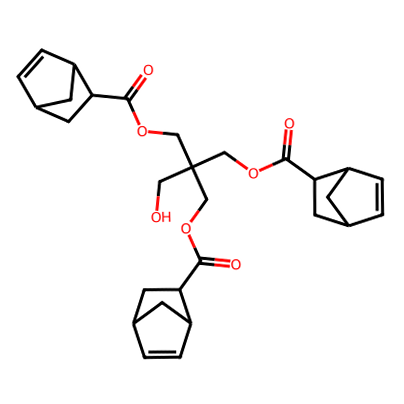 O=C(OCC(CO)(COC(=O)C1CC2C=CC1C2)COC(=O)C1CC2C=CC1C2)C1CC2C=CC1C2